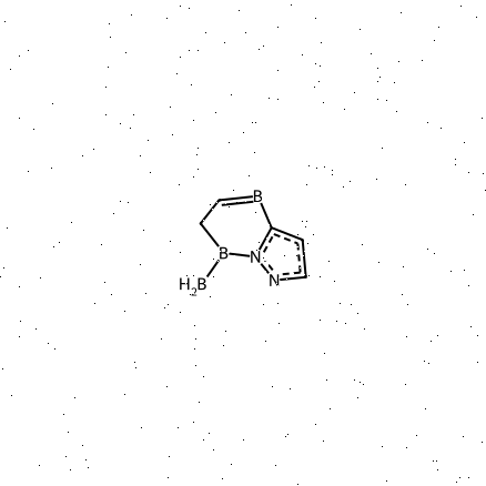 BB1CC=Bc2ccnn21